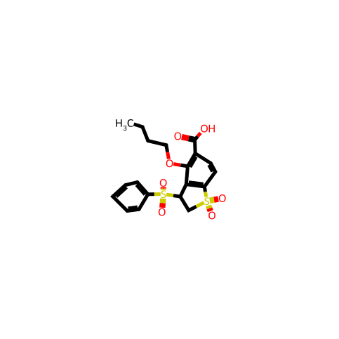 CCCCOc1c(C(=O)O)ccc2c1C(S(=O)(=O)c1ccccc1)CS2(=O)=O